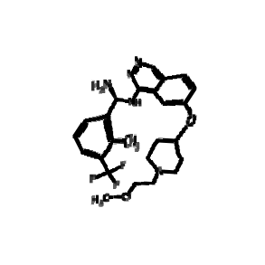 COCCN1CCC(Oc2ccc3cnnc(N[C@H](N)c4cccc(C(F)(F)F)c4C)c3c2)CC1